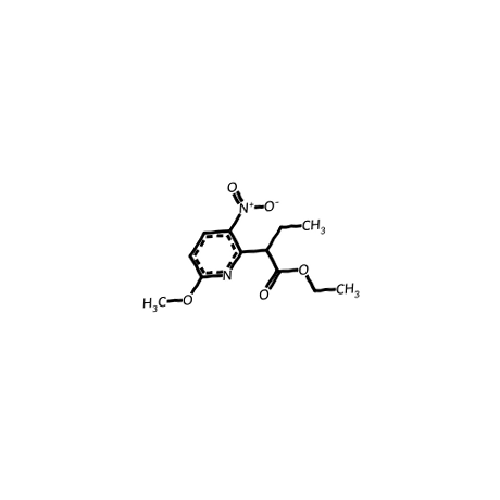 CCOC(=O)C(CC)c1nc(OC)ccc1[N+](=O)[O-]